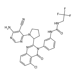 N#Cc1c(N)ncnc1N1CCCC1c1nc2cccc(Cl)c2c(=O)n1-c1cccc(NC(=O)NCC(F)(F)F)c1